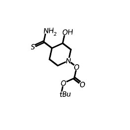 CC(C)(C)OC(=O)ON1CCC(C(N)=S)C(O)C1